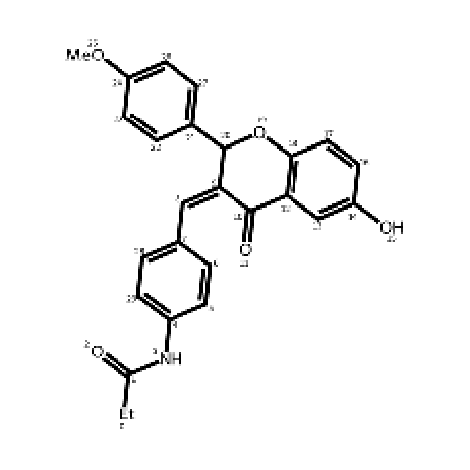 CCC(=O)Nc1ccc(C=C2C(=O)c3cc(O)ccc3OC2c2ccc(OC)cc2)cc1